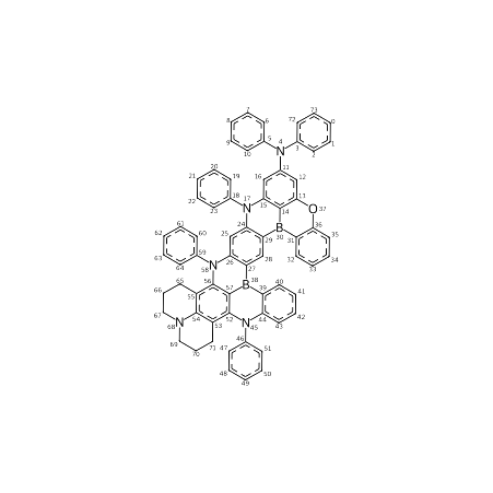 c1ccc(N(c2ccccc2)c2cc3c4c(c2)N(c2ccccc2)c2cc5c(cc2B4c2ccccc2O3)B2c3ccccc3N(c3ccccc3)c3c4c6c(c(c32)N5c2ccccc2)CCCN6CCC4)cc1